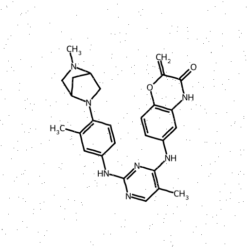 C=C1Oc2ccc(Nc3nc(Nc4ccc(N5CC6CC5CN6C)c(C)c4)ncc3C)cc2NC1=O